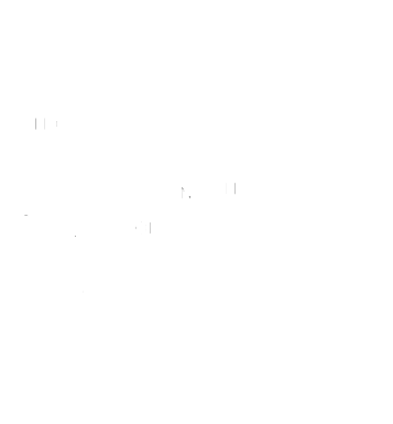 Cc1cc(CN(C)Cc2ccccc2CCCc2ccccc2)c(O)c(C23CC4CC(CC(C4)C2)C3)c1